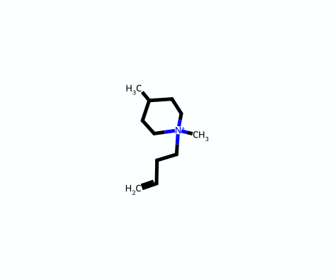 C=CCC[N+]1(C)CCC(C)CC1